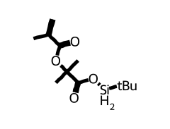 C=C(C)C(=O)OC(C)(C)C(=O)O[SiH2]C(C)(C)C